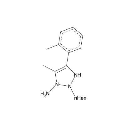 CCCCCCN1NC(c2ccccc2C)=C(C)N1N